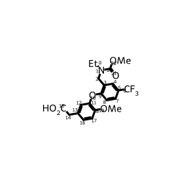 CCN(Cc1cc(C(F)(F)F)ccc1Oc1cc(CC(=O)O)ccc1OC)C(=O)OC